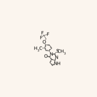 CSc1nc2[nH]ccc2c(=O)n1-c1ccc(OCC(F)(F)F)c(C)c1